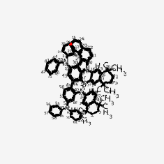 CC1(C)CCC(C)(C)c2cc(N3B4c5cc6c(cc5-n5c7ccc8ccccc8c7c7c(N(c8ccccc8)c8ccccc8)cc(c4c75)-c4ccc(N(c5ccccc5)c5ccccc5)cc43)C(C)(C)CCC6(C)C)ccc21